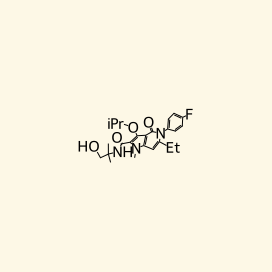 CCc1cc2c(c(OC(C)C)c(C(=O)NC(C)(C)CO)n2C)c(=O)n1-c1ccc(F)cc1